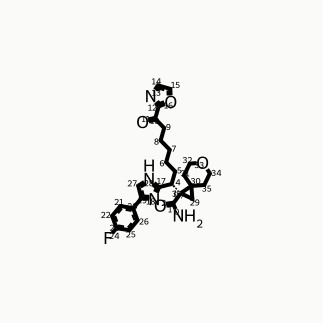 NC(=O)[C@]1(C(CCCCCC(=O)c2ncco2)c2nc(-c3ccc(F)cc3)c[nH]2)CC12CCOCC2